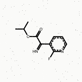 CC(C)OC(=O)C(=N)c1cccnc1F